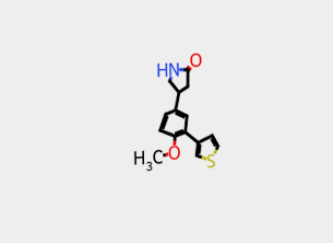 COc1ccc(C2CNC(=O)C2)cc1-c1ccsc1